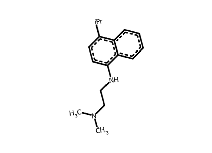 CC(C)c1ccc(NCCN(C)C)c2ccccc12